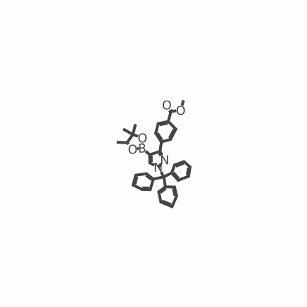 COC(=O)c1ccc(-c2nn(C(c3ccccc3)(c3ccccc3)c3ccccc3)cc2B2OC(C)C(C)(C)O2)cc1